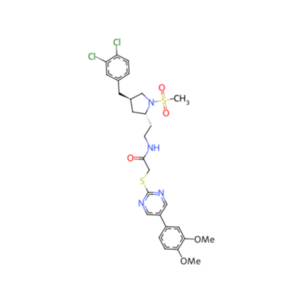 COc1ccc(-c2cnc(SCC(=O)NCC[C@@H]3C[C@@H](Cc4ccc(Cl)c(Cl)c4)CN3S(C)(=O)=O)nc2)cc1OC